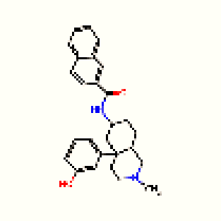 CN1CCC2(c3cccc(O)c3)CC(NC(=O)c3ccc4ccccc4c3)CCC2C1